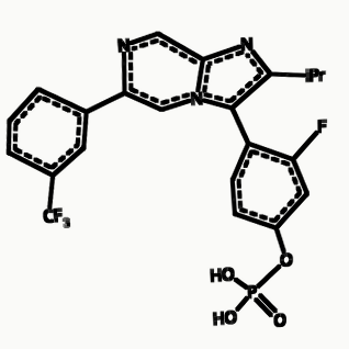 CC(C)c1nc2cnc(-c3cccc(C(F)(F)F)c3)cn2c1-c1ccc(OP(=O)(O)O)cc1F